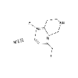 CCc1cc(C#N)c(F)c2c1CNCC2